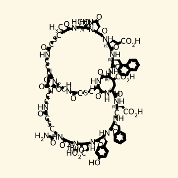 C[C@H]1CSCC(=O)NCCn2c(=O)n3c(=O)n(c2=O)CCNC(=O)CSC[C@@H]2NC(=O)[C@H](NC(=O)[C@H](Cc4cccc5ccccc45)NC(=O)[C@H](CCC(=O)O)NC(=O)[C@H](CC(N)=O)NC(=O)[C@@H](C)NC1=O)C(C(=O)O)C[C@H](NC2=O)C(=O)N[C@@H](CC(=O)O)CN[C@@H](Cc1ccccc1)C(=O)N[C@@H](Cc1ccc(O)cc1)C(=O)N[C@@H](CC(=O)O)C(=O)N[C@@H](C(C)(C)C)C(=O)N[C@H](C(N)=O)CSCC(=O)NCC3